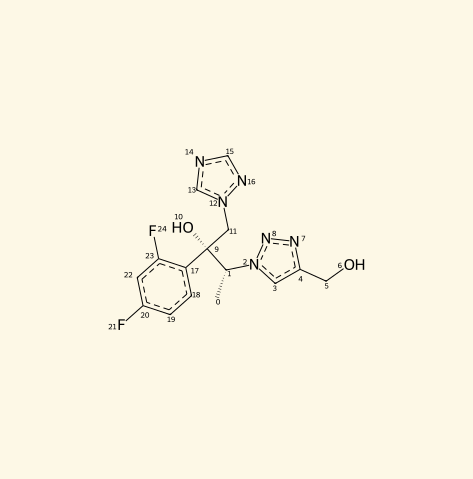 C[C@@H](n1cc(CO)nn1)[C@](O)(Cn1cncn1)c1ccc(F)cc1F